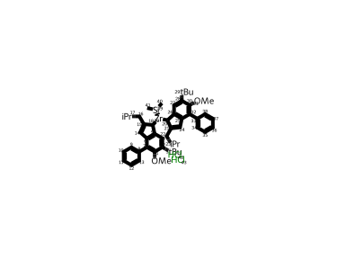 COc1c(C(C)(C)C)cc2c(c1-c1ccccc1)C=C(CC(C)C)[CH]2[Zr]([CH]1C(CC(C)C)=Cc2c1cc(C(C)(C)C)c(OC)c2-c1ccccc1)=[Si](C)C.Cl.Cl